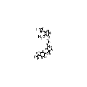 Cn1c(SCCCN2CCC3(CC3c3ccc(C(F)(F)F)cc3)C2)nnc1C1CNC1